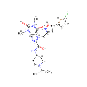 CC(C)N1CCC(NC(=O)c2nc3c(c(=O)n(C)c(=O)n3C)n2Cc2cc(-c3ccc(Cl)s3)on2)CC1